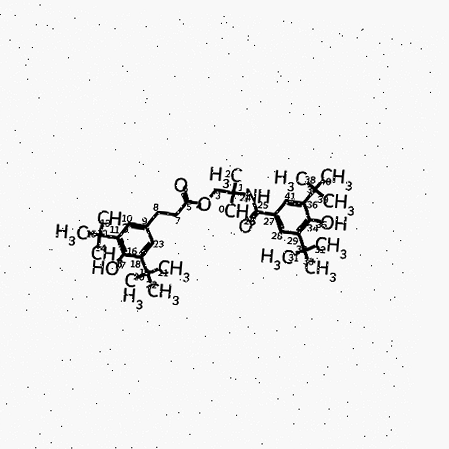 CC(C)(COC(=O)CCc1cc(C(C)(C)C)c(O)c(C(C)(C)C)c1)NC(=O)c1cc(C(C)(C)C)c(O)c(C(C)(C)C)c1